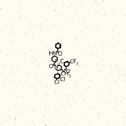 CN(C(=O)c1cc(C(F)(F)F)cc(C(F)(F)F)c1)[C@@H]1CCN(C(=O)C2CCC(NC(=O)c3ccccc3)CC2)C[C@H]1c1ccc(Cl)c(Cl)c1